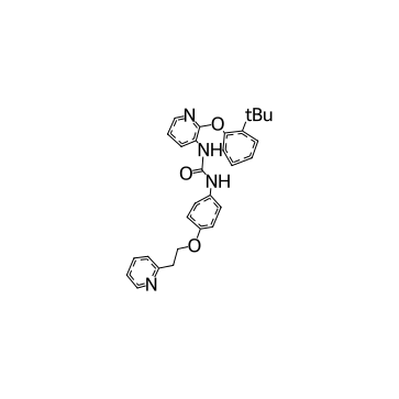 CC(C)(C)c1ccccc1Oc1ncccc1NC(=O)Nc1ccc(OCCc2ccccn2)cc1